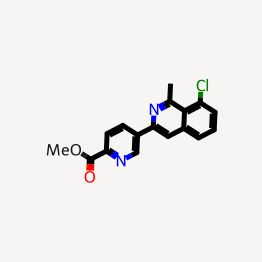 COC(=O)c1ccc(-c2cc3cccc(Cl)c3c(C)n2)cn1